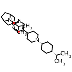 CC(C)N1CC2CCC(C1)N2c1ncc(C2CCN([C@H]3CC[C@@H](C(C)C)CC3)CC2)cn1